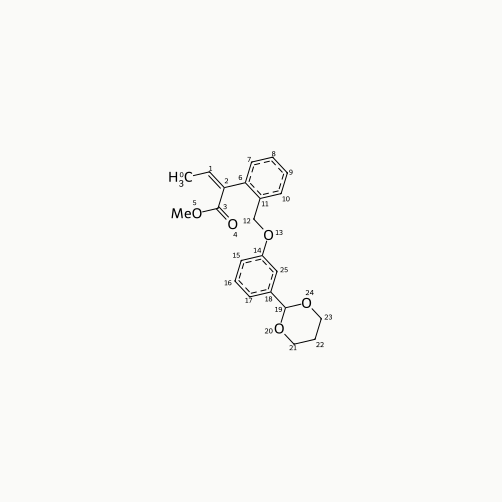 CC=C(C(=O)OC)c1ccccc1COc1cccc(C2OCCCO2)c1